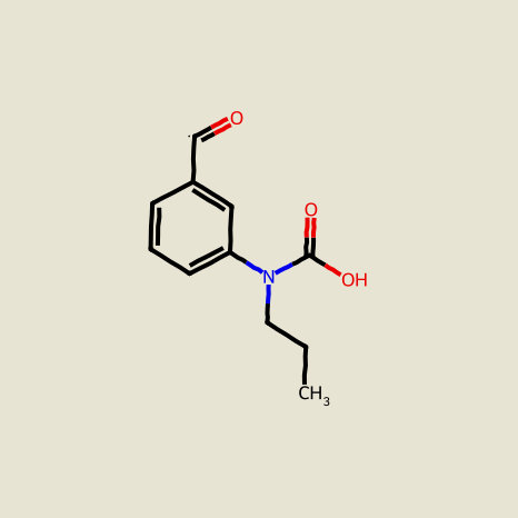 CCCN(C(=O)O)c1cccc([C]=O)c1